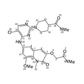 CNC(=O)COc1cc2cc(Nc3nc(N4CCC(C(=O)NC)CC4)ncc3Cl)cc(OC)c2n(C)c1=O